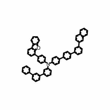 c1ccc(-c2cccc(-c3cccc(N(c4ccc(-c5ccc(-c6cccc(-c7ccc8ccccc8c7)c6)cc5)cc4)c4ccc(-c5cccc6c5oc5ccccc56)cc4)c3)c2)cc1